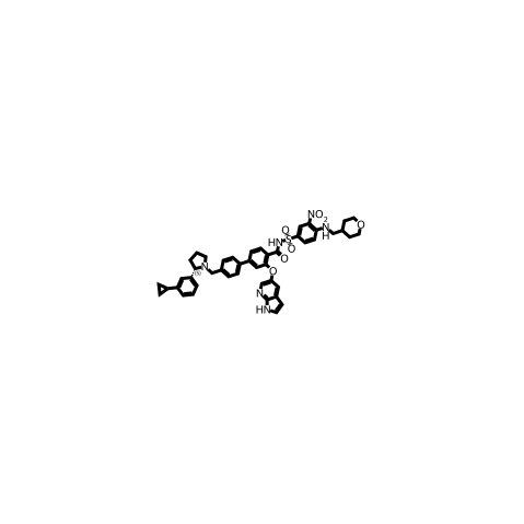 O=C(NS(=O)(=O)c1ccc(NCC2CCOCC2)c([N+](=O)[O-])c1)c1ccc(-c2ccc(CN3CCC[C@H]3c3cccc(C4CC4)c3)cc2)cc1Oc1cnc2[nH]ccc2c1